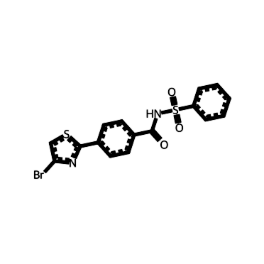 O=C(NS(=O)(=O)c1ccccc1)c1ccc(-c2nc(Br)cs2)cc1